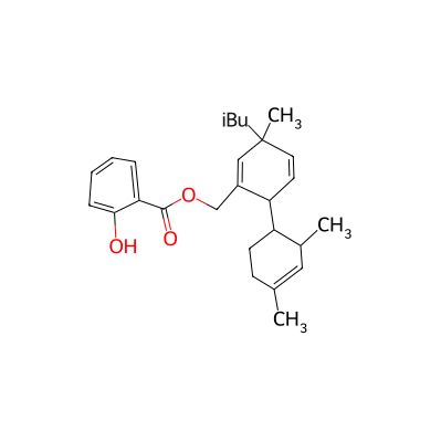 CCC(C)C1(C)C=CC(C2CCC(C)=CC2C)C(COC(=O)c2ccccc2O)=C1